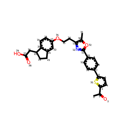 CC(=O)c1ccc(-c2ccc(-c3nc(CCOc4ccc5c(c4)CCC5CC(=O)O)c(C)o3)cc2)s1